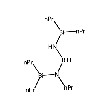 CCC[N]([BiH][NH][Bi]([CH2]CC)[CH2]CC)[Bi]([CH2]CC)[CH2]CC